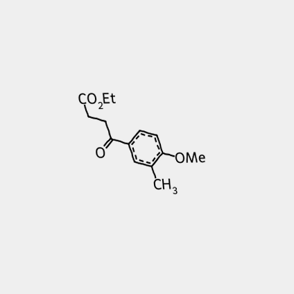 CCOC(=O)CCC(=O)c1ccc(OC)c(C)c1